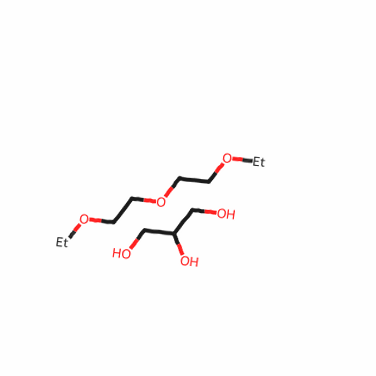 CCOCCOCCOCC.OCC(O)CO